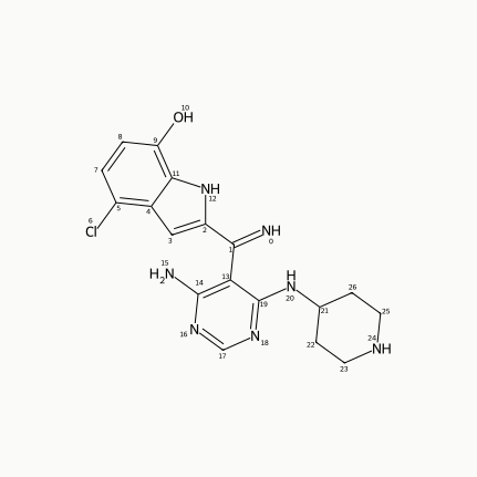 N=C(c1cc2c(Cl)ccc(O)c2[nH]1)c1c(N)ncnc1NC1CCNCC1